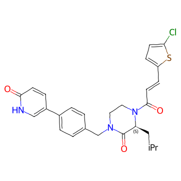 CC(C)C[C@H]1C(=O)N(Cc2ccc(-c3ccc(=O)[nH]c3)cc2)CCN1C(=O)C=Cc1ccc(Cl)s1